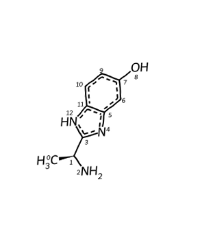 C[C@H](N)c1nc2cc(O)ccc2[nH]1